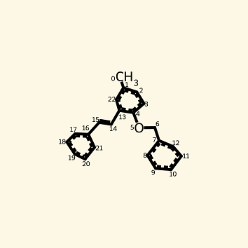 Cc1ccc(OCc2ccccc2)c(C=Cc2ccccc2)c1